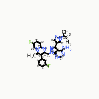 C=C1C(c2cccc(F)c2)=C(Cn2nc(-c3cnn(C(C)C)c3)c3c(N)ncnc32)N=C2C=CC(F)=CN12